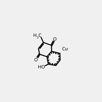 CC1=CC(=O)c2c(O)cccc2C1=O.[Cu]